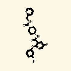 CSc1cccc(Oc2ncc(F)cc2C(=O)N[C@H]2CC[C@@H](C(=O)NCc3ccccn3)CC2)c1